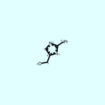 CC(C)c1ncc(C[O])s1